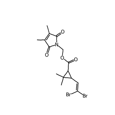 CC1=C(C)C(=O)N(COC(=O)C2C(C=C(Br)Br)C2(C)C)C1=O